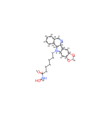 O=C(CCCCCCn1c2cc3c(cc2c2ncc4ccccc4c21)OCO3)NO